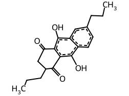 CCCc1ccc2c(O)c3c(c(O)c2c1)C(=O)CC(CCC)C3=O